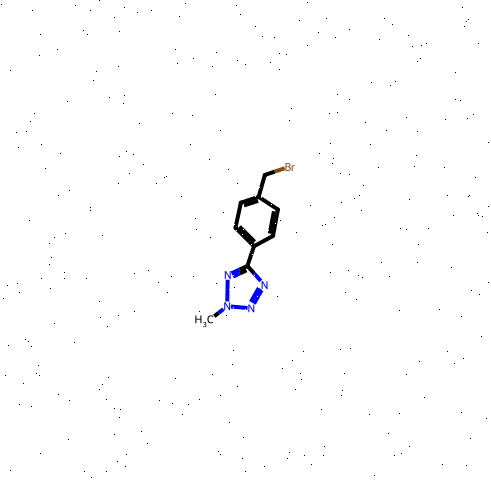 Cn1nnc(-c2ccc(CBr)cc2)n1